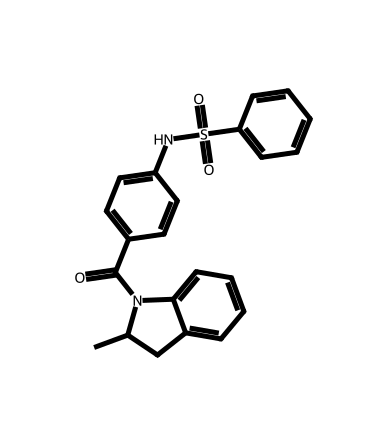 CC1Cc2ccccc2N1C(=O)c1ccc(NS(=O)(=O)c2ccccc2)cc1